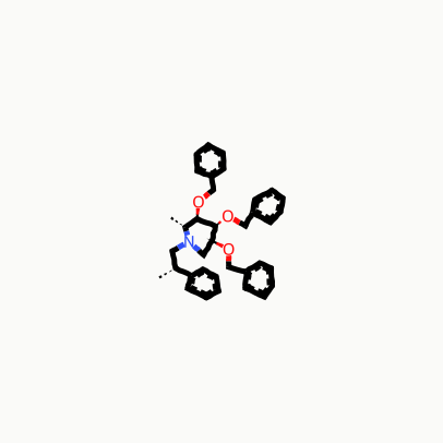 C[C@H](CN1C[C@H](OCc2ccccc2)[C@@H](OCc2ccccc2)[C@H](OCc2ccccc2)[C@H]1C)c1ccccc1